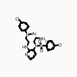 CC(=O)N(CCNc1ncccc1N(CCN)S(=O)(=O)c1ccc(Cl)cc1)c1ccc(Cl)cc1